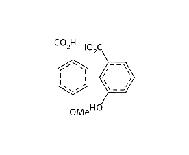 COc1ccc(C(=O)O)cc1.O=C(O)c1cccc(O)c1